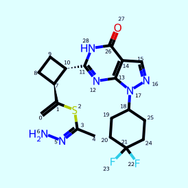 C=C(S/C(C)=N\N)[C@H]1CC[C@@H]1c1nc2c(cnn2C2CCC(F)(F)CC2)c(=O)[nH]1